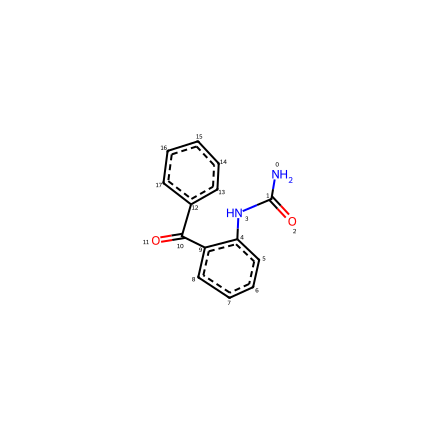 NC(=O)Nc1ccccc1C(=O)c1ccccc1